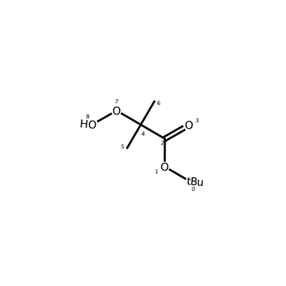 CC(C)(C)OC(=O)C(C)(C)OO